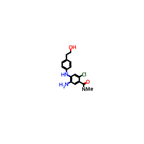 CNC(=O)c1cc(N)c(Nc2ccc(CCO)cc2)cc1Cl